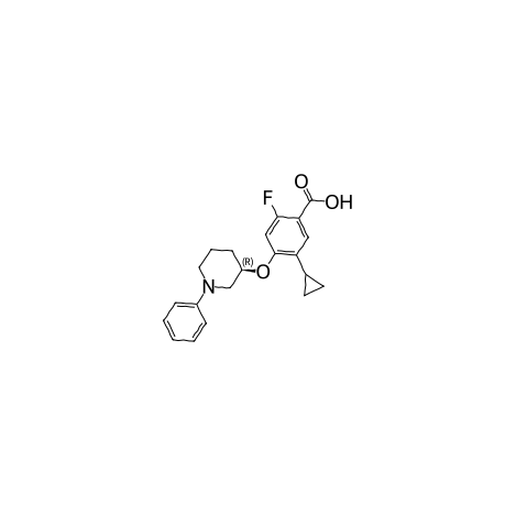 O=C(O)c1cc(C2CC2)c(O[C@@H]2CCCN(c3ccccc3)C2)cc1F